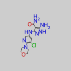 NC(=O)c1c(Nc2cnc(N3CCOCC3)c(Cl)c2)n[nH]c1N